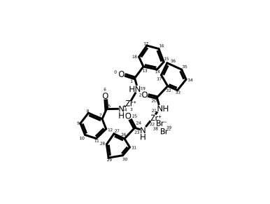 O=C([NH][Zr+][NH]C(=O)c1ccccc1)c1ccccc1.O=C([NH][Zr+][NH]C(=O)c1ccccc1)c1ccccc1.[Br-].[Br-]